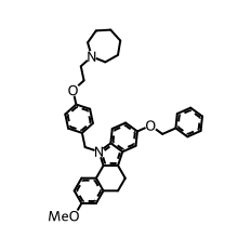 COc1ccc2c(c1)CCc1c-2n(Cc2ccc(OCCN3CCCCCC3)cc2)c2ccc(OCc3ccccc3)cc12